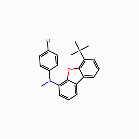 CCc1ccc(N(C)c2cccc3c2oc2c([Si](C)(C)C)cccc23)cc1